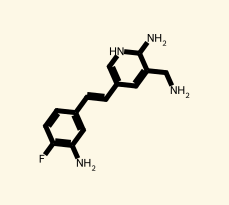 NCC1=CC(C=Cc2ccc(F)c(N)c2)=CNC1N